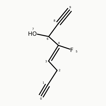 C#CCC=C(F)C(O)C#C